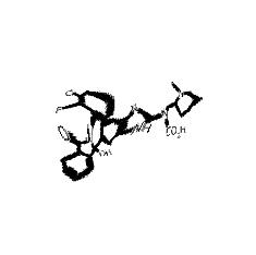 CN1CCCCC1CN(C(=O)O)c1nc2ccc(C3(O)c4ccccc4C(=O)N3c3cccc(Cl)c3F)cc2[nH]1